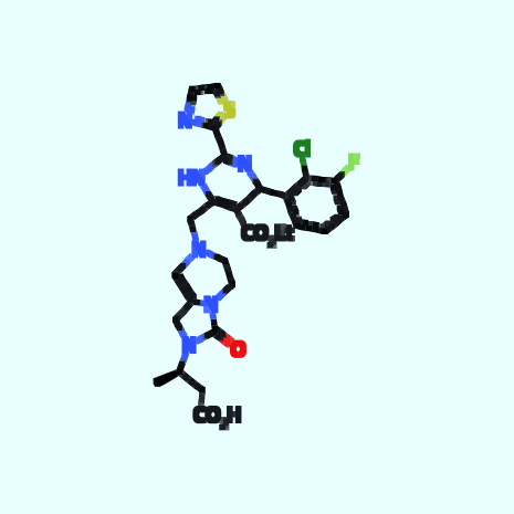 CCOC(=O)C1=C(CN2C=C3CN([C@H](C)CC(=O)O)C(=O)N3CC2)NC(c2nccs2)=NC1c1cccc(F)c1Cl